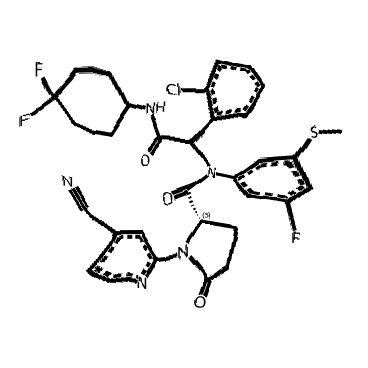 CSc1cc(F)cc(N(C(=O)[C@@H]2CCC(=O)N2c2cc(C#N)ccn2)C(C(=O)NC2CCC(F)(F)CC2)c2ccccc2Cl)c1